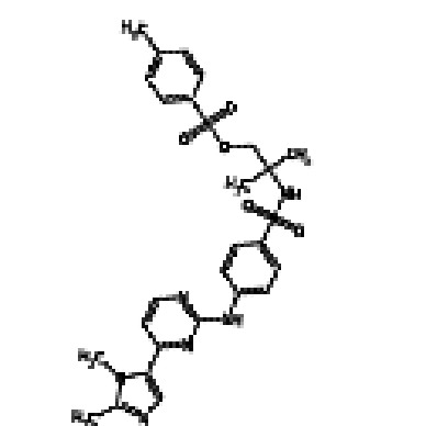 Cc1ccc(S(=O)(=O)OCC(C)(C)NS(=O)(=O)c2ccc(Nc3nccc(-c4cnc(C)n4C)n3)cc2)cc1